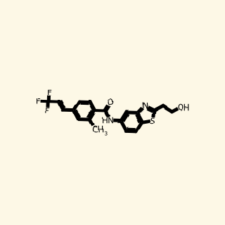 Cc1cc(C=CC(F)(F)F)ccc1C(=O)Nc1ccc2sc(CCO)nc2c1